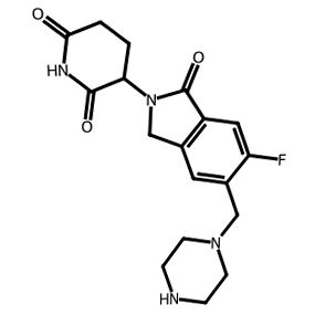 O=C1CCC(N2Cc3cc(CN4CCNCC4)c(F)cc3C2=O)C(=O)N1